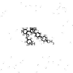 CN1CCN(c2ccc(-n3cc(-c4ccncc4OCC4CCNCC4)cn3)cc2)CC1.Cl